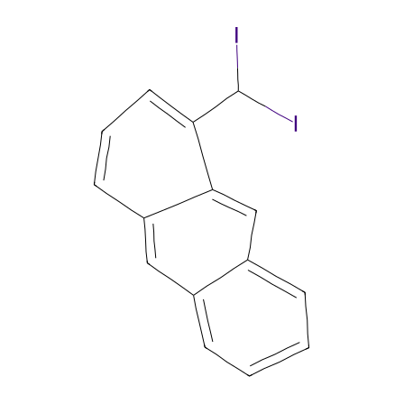 IC(I)c1cccc2cc3ccccc3cc12